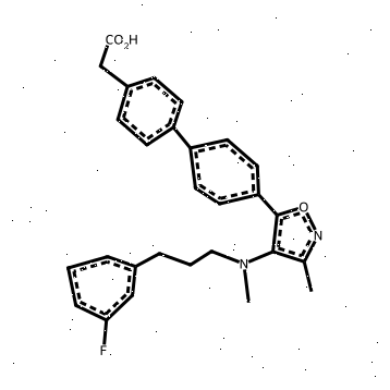 Cc1noc(-c2ccc(-c3ccc(CC(=O)O)cc3)cc2)c1N(C)CCCc1cccc(F)c1